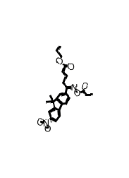 CCCOC(=O)CCC/C(=N/OC(=O)CC)c1ccc2c(c1)C(C)(C)c1cc([N+](=O)[O-])ccc1-2